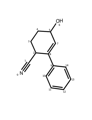 N#CC1CCC(O)C=C1c1ccccc1